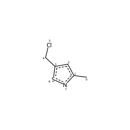 Cc1cc(CCl)sn1